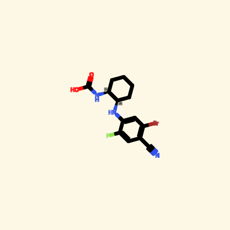 N#Cc1cc(F)c(N[C@@H]2CCCC[C@@H]2NC(=O)O)cc1Br